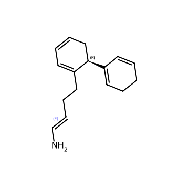 N/C=C/CCC1=CC=CC[C@H]1C1=CCCC=C1